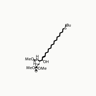 COBN[C@@H](COP(=O)(OC)OC)[C@H](O)/C=C/CCCCCCCCCCCCCSC(C)(C)C